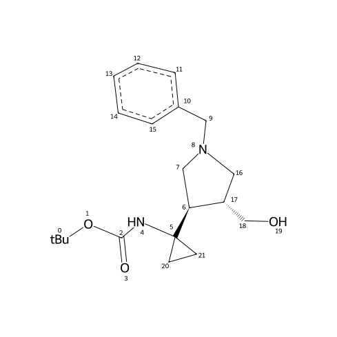 CC(C)(C)OC(=O)NC1([C@H]2CN(Cc3ccccc3)C[C@@H]2CO)CC1